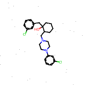 OC1(Cc2cccc(Cl)c2)CCCCC1CN1CCN(c2cccc(Cl)c2)CC1